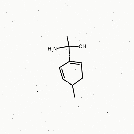 CC1C=CC(C(C)(N)O)=CC1